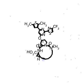 Cc1cc(-c2cc(O[C@H]3CCN4C(=O)N(C)CCCC/C=C\[C@@H]5C[C@@]5(C(=O)O)NC(=O)[C@@H]4C3)nc(-c3nc(C(F)(F)F)cs3)n2)c(C)s1